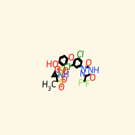 CC([SH](=O)=O)C1(NS(=O)(=O)c2cc(Oc3c(Cl)cc(-n4nc(C(F)F)c(=O)[nH]c4=O)cc3Cl)ccc2O)CC1